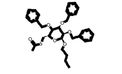 CCCCO[C@H]1O[C@H](CSC(C)=O)C(OCc2ccccc2)[C@H](OCc2ccccc2)[C@H]1OCc1ccccc1